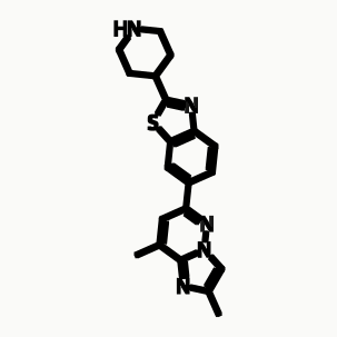 Cc1cn2nc(-c3ccc4nc(C5CCNCC5)sc4c3)cc(C)c2n1